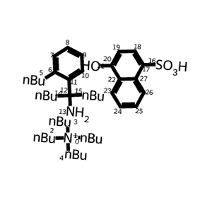 CCCC[N+](CCCC)(CCCC)CCCC.CCCCc1ccccc1C(N)(CCCC)CCCC.O=S(=O)(O)c1ccc(O)c2ccccc12